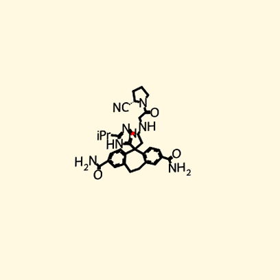 CC(C)c1nnc(C2(C[C@H](C)NCC(=O)N3CCC[C@H]3C#N)c3ccc(C(N)=O)cc3CCc3cc(C(N)=O)ccc32)[nH]1